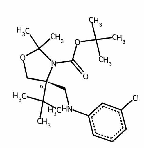 CC(C)(C)OC(=O)N1C(C)(C)OC[C@@]1(CNc1cccc(Cl)c1)C(C)(C)C